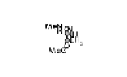 CNC(=O)c1ccnc2[nH]c(-c3cc4cc(OC)ccc4n3C)cc12